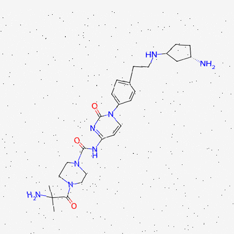 CC(C)(N)C(=O)N1CCN(C(=O)Nc2ccn(-c3ccc(CCNC4CC[C@H](N)C4)cc3)c(=O)n2)CC1